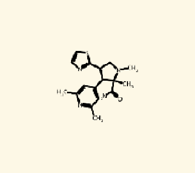 Cc1cc(C2C(c3nccs3)CN(C)C2(C)C(N)=O)cc(C)n1